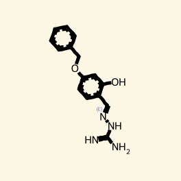 N=C(N)N/N=C/c1ccc(OCc2ccccc2)cc1O